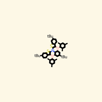 Cc1cc(C)c(B2c3cc(C(C)(C)C)cc4c3N(c3sc5cc(C(C)(C)C)ccc5c32)c2sc3cc(C(C)(C)C)ccc3c2B4c2c(C)cc(C)cc2C)c(C)c1